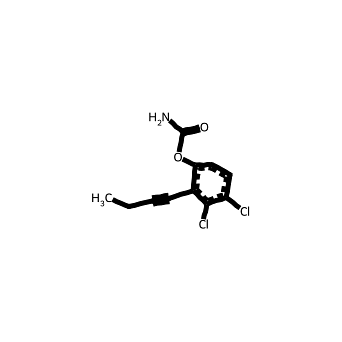 CCC#Cc1c(OC(N)=O)ccc(Cl)c1Cl